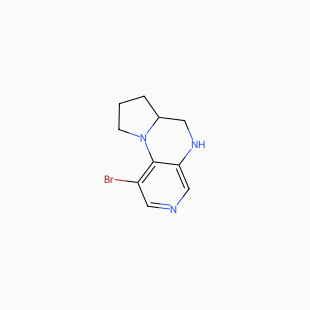 Brc1cncc2c1N1CCCC1CN2